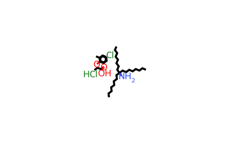 CCCCCCCCC(N)(CCCCCCCC)CCCCCCCC.Cc1cc(Cl)ccc1OC(C)C(=O)O.Cl